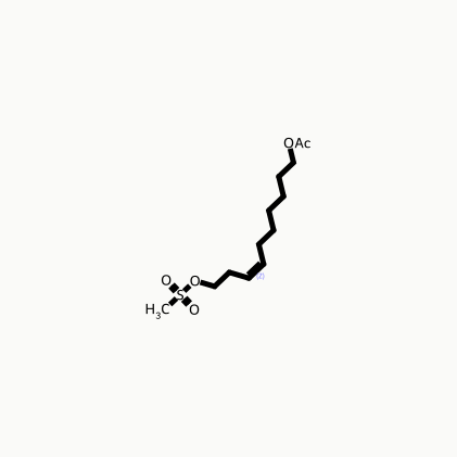 CC(=O)OCCCCCC/C=C\CCOS(C)(=O)=O